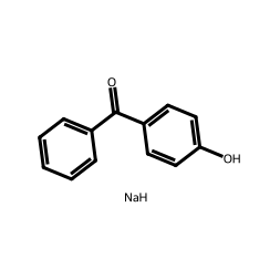 O=C(c1ccccc1)c1ccc(O)cc1.[NaH]